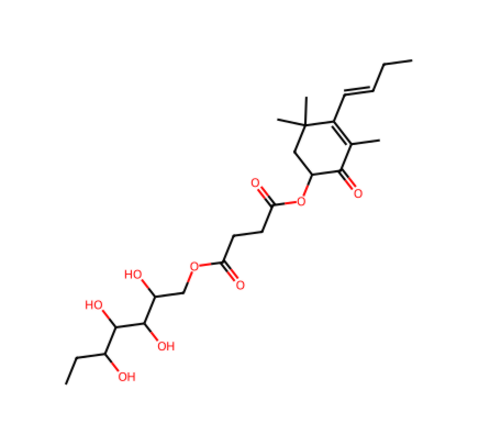 CC/C=C/C1=C(C)C(=O)C(OC(=O)CCC(=O)OCC(O)C(O)C(O)C(O)CC)CC1(C)C